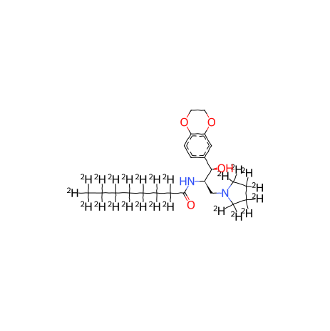 [2H]C([2H])([2H])C([2H])([2H])C([2H])([2H])C([2H])([2H])C([2H])([2H])C([2H])([2H])C([2H])([2H])C(=O)N[C@H](CN1C([2H])([2H])C([2H])([2H])C([2H])([2H])C1([2H])[2H])[C@H](O)c1ccc2c(c1)OCCO2